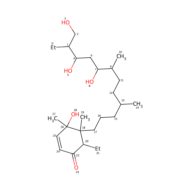 CCC(CO)C(O)CC(O)C(C)CCC(C)CCCC1(C)C(CC)C(=O)C=CC1(C)O